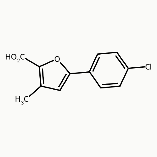 Cc1cc(-c2ccc(Cl)cc2)oc1C(=O)O